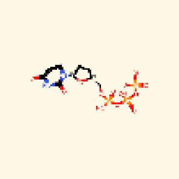 O=c1ccn([C@@H]2CC[C@H](COP(=O)(O)OP(=O)(O)OP(=O)(O)O)O2)c(=O)[nH]1